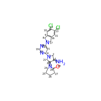 N[C@@H]1CN(c2cc(N3Cc4cc(Cl)c(Cl)cc4C3)ncn2)C[C@@H]1N1CCCCC1=O